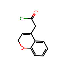 O=C(Cl)CC1=CCOc2ccccc21